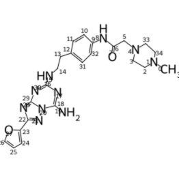 CN1CCN(CC(=O)Nc2ccc(CCNc3nc(N)n4nc(-c5ccco5)nc4n3)cc2)CC1